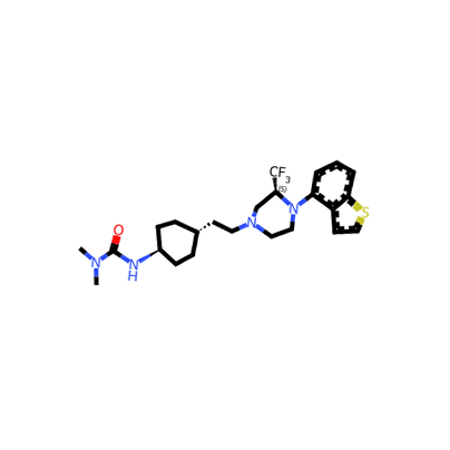 CN(C)C(=O)N[C@H]1CC[C@H](CCN2CCN(c3cccc4sccc34)[C@H](C(F)(F)F)C2)CC1